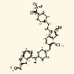 Cc1c(CN2CCC(Nc3ncnc4sc(CC(F)(F)F)cc34)CC2)ccc2c1cc(C#N)n2CCN1CCN(C(=O)C(F)F)CC1